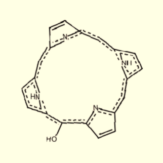 Oc1c2nc(cc3ccc(cc4nc(cc5ccc1[nH]5)C=C4)[nH]3)C=C2